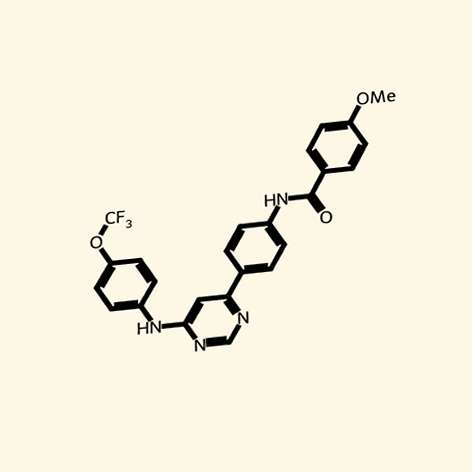 COc1ccc(C(=O)Nc2ccc(-c3cc(Nc4ccc(OC(F)(F)F)cc4)ncn3)cc2)cc1